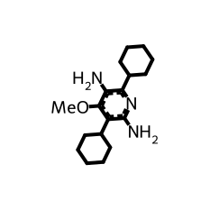 COc1c(N)c(C2CCCCC2)nc(N)c1C1CCCCC1